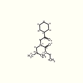 CCOC(=O)N(CC(=O)C1CCCCC1)CN(C)C